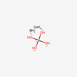 B.O[Si](O)(O)O.[GeH4]